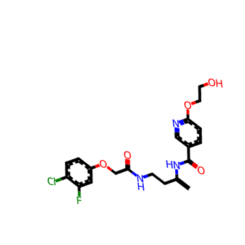 C=C(CCNC(=O)COc1ccc(Cl)c(F)c1)NC(=O)c1ccc(OCCO)nc1